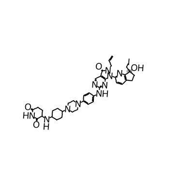 C=CCn1c(=O)c2cnc(Nc3ccc(N4CCN(C5CCC(NC6CCC(=O)NC6=O)CC5)CC4)cc3)nc2n1-c1ccc2c(n1)[C@@](O)(CI)CC2